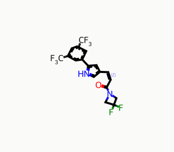 O=C(/C=C\c1c[nH]c(-c2cc(C(F)(F)F)cc(C(F)(F)F)c2)c1)N1CC(F)(F)C1